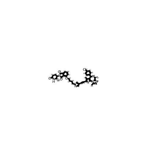 Cc1c(C#Cc2cnn(CCCCOc3cccc4c3C(=O)N(C3CCC(=O)NC3=O)C4=O)c2)sc2c1C(c1ccc(Cl)cc1)=N[C@@H](C)c1nnc(C)n1-2